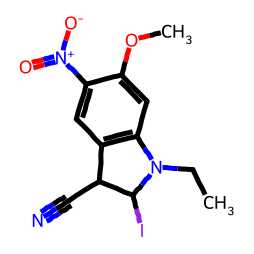 CCN1c2cc(OC)c([N+](=O)[O-])cc2C(C#N)C1I